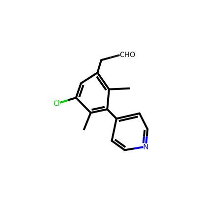 Cc1c(Cl)cc(CC=O)c(C)c1-c1ccncc1